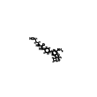 CS(=O)(=O)C1(c2cc(N)nc(-c3ccc(NC(=O)NCCCO)cc3)n2)CCC1